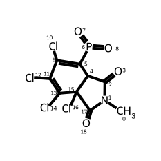 CN1C(=O)C2C(P(=O)=O)=C(Cl)C(Cl)=C(Cl)C2(Cl)C1=O